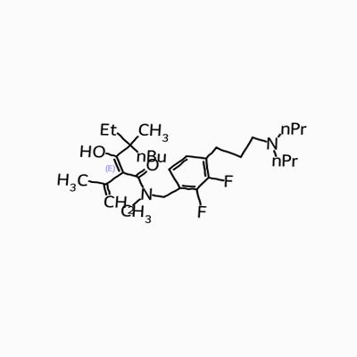 C=C(C)/C(C(=O)N(C)Cc1ccc(CCCN(CCC)CCC)c(F)c1F)=C(\O)C(C)(CC)CCCC